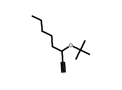 [C]#CC(CCCCC)OC(C)(C)C